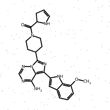 COc1cccc2cc(-c3nc(C4CCN(C(=O)C5CC=CN5)CC4)n4ncnc(N)c34)[nH]c12